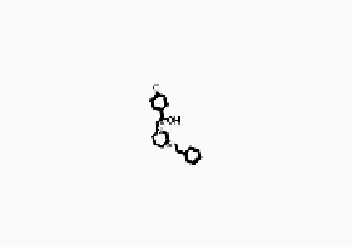 O[C@H](CN1CCC[C@@H](CCc2ccccc2)C1)c1ccc(Cl)cc1